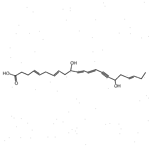 CCC=CCC(O)C#CC=CC=CC(O)CC=CCC=CCCC(=O)O